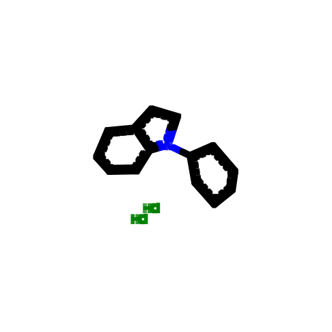 Cl.Cl.c1ccc(-n2ccc3ccccc32)cc1